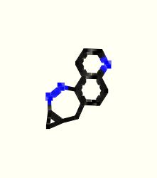 c1cnc2ccc3c(c2c1)N=NC1=C(C1)C3